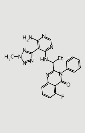 CCC(Nc1ncnc(N)c1-c1nnn(C)n1)c1nc2cccc(F)c2c(=O)n1-c1ccccc1